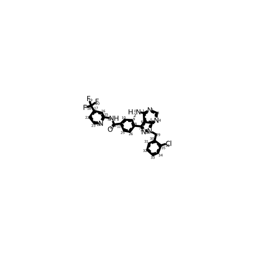 Nc1ncnc2c1c(-c1ccc(C(=O)Nc3cc(C(F)(F)F)ccn3)cc1)nn2Cc1ccccc1Cl